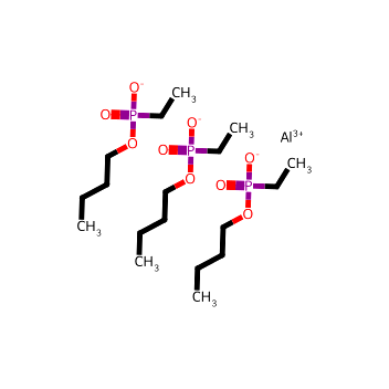 CCCCOP(=O)([O-])CC.CCCCOP(=O)([O-])CC.CCCCOP(=O)([O-])CC.[Al+3]